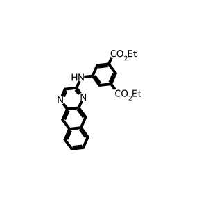 CCOC(=O)c1cc(Nc2cnc3cc4ccccc4cc3n2)cc(C(=O)OCC)c1